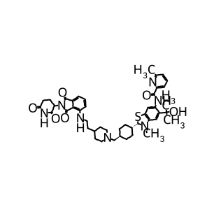 Cc1cccc(C(=O)Nc2cc3c(cc2C(C)(C)O)N(C)C([C@H]2CC[C@H](CN4CCC(CCNc5cccc6c5C(=O)N(C5CCC(=O)NC5=O)C6=O)CC4)CC2)S3)n1